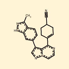 Cc1n[nH]c2cc(-c3cnn4ccnc(C5=CCC(C#N)CC5)c34)ccc12